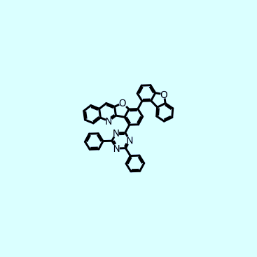 c1ccc(-c2nc(-c3ccccc3)nc(-c3ccc(-c4cccc5oc6ccccc6c45)c4oc5cc6ccccc6nc5c34)n2)cc1